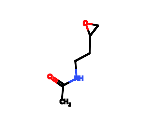 CC(=O)NCCC1CO1